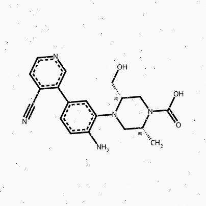 C[C@@H]1CN(c2cc(-c3cnccc3C#N)ccc2N)[C@H](CO)CN1C(=O)O